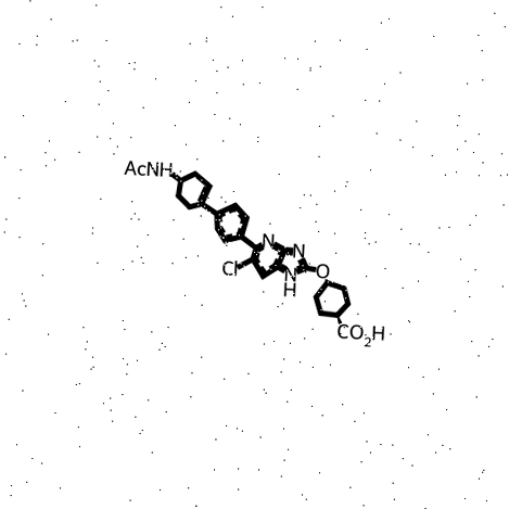 CC(=O)NC1CC=C(c2ccc(-c3nc4nc(O[C@H]5CC[C@H](C(=O)O)CC5)[nH]c4cc3Cl)cc2)CC1